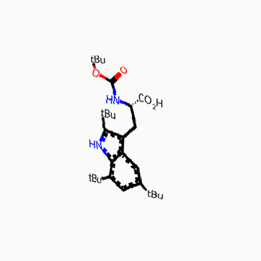 CC(C)(C)OC(=O)N[C@@H](Cc1c(C(C)(C)C)[nH]c2c(C(C)(C)C)cc(C(C)(C)C)cc12)C(=O)O